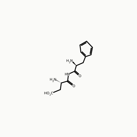 N[C@@H](CC(=O)O)C(=O)NC(=O)[C@@H](N)Cc1ccccc1